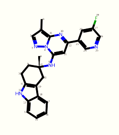 Cc1cnn2c(N[C@@]3(C)CCc4[nH]c5ccccc5c4C3)cc(-c3cncc(F)c3)nc12